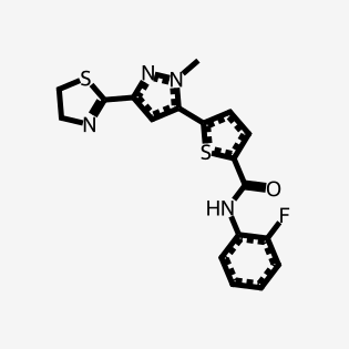 Cn1nc(C2=NCCS2)cc1-c1ccc(C(=O)Nc2ccccc2F)s1